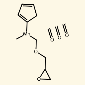 [CH3][Mn]([CH2]OCC1CO1)[C]1=CC=CC1.[C]=O.[C]=O.[C]=O